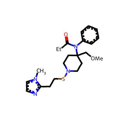 CCC(=O)N(c1ccccc1)C1(COC)CCN(SCCc2nccn2C)CC1